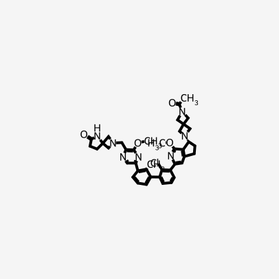 COc1nc(-c2cccc(-c3cccc(-c4cc5c(c(OC)n4)[C@@H](N4CC6(CN(C(C)=O)C6)C4)CC5)c3Cl)c2C)cnc1CN1CC2(CCC(=O)N2)C1